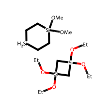 CCO[Si]1(OCC)C[Si](OCC)(OCC)C1.CO[Si]1(OC)CC[SiH2]CC1